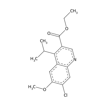 CCOC(=O)c1cnc2cc(Cl)c(OC)cc2c1C(C)C